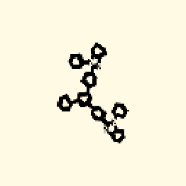 c1ccc(-c2cc(-c3ccc(-c4nc5ccccc5n4-c4ccccc4)cc3)cc(-c3ccc(-c4nc5ccccc5n4-c4ccccc4)cc3)c2)cc1